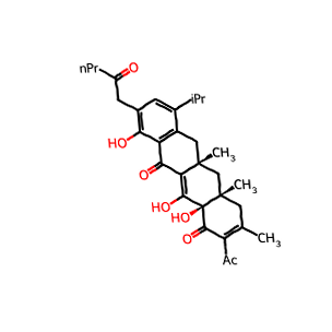 CCCC(=O)Cc1cc(C(C)C)c2c(c1O)C(=O)C1=C(O)[C@@]3(O)C(=O)C(C(C)=O)=C(C)C[C@@]3(C)C[C@@]1(C)C2